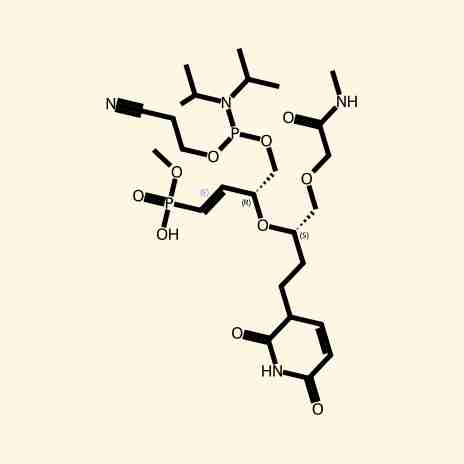 CNC(=O)COC[C@H](CCC1C=CC(=O)NC1=O)O[C@H](/C=C/P(=O)(O)OC)COP(OCCC#N)N(C(C)C)C(C)C